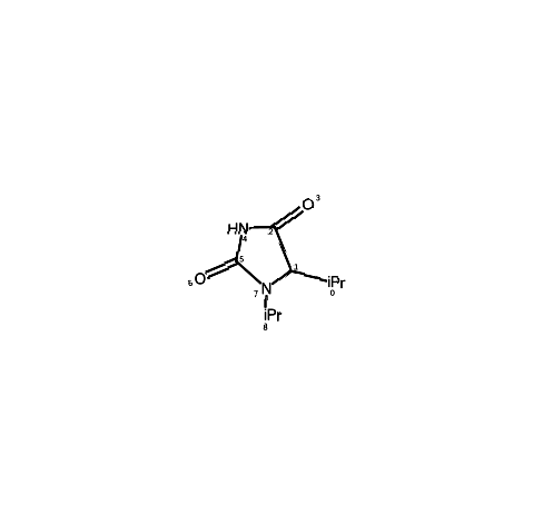 CC(C)C1C(=O)NC(=O)N1C(C)C